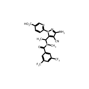 CC(c1c(C#N)c(N)nn1-c1ccc(C(=O)O)cn1)N(C)C(=O)c1cc(C(F)(F)F)cc(C(F)(F)F)c1